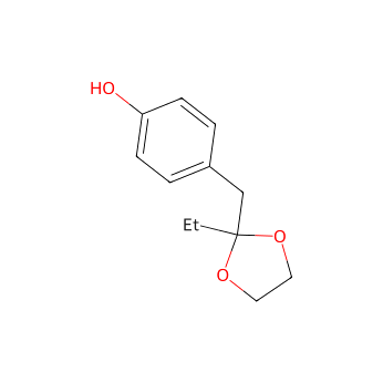 CCC1(Cc2ccc(O)cc2)OCCO1